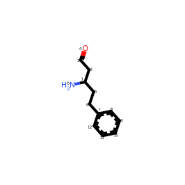 NC(CC=O)CCc1ccccc1